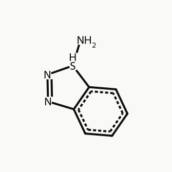 N[SH]1N=Nc2ccccc21